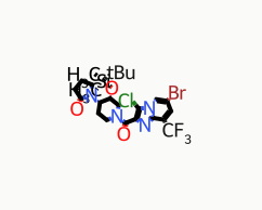 CC(C)(C)[Si](C)(C)O[C@@H]1CN(C(=O)c2nc3c(C(F)(F)F)cc(Br)cn3c2Cl)CC[C@@H]1N1CCCC1=O